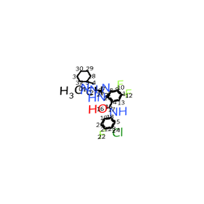 CN(C)C1(CNc2nc3c(F)c(F)cc(C(O)Nc4ccc(F)c(Cl)c4)c3[nH]2)CCCCC1